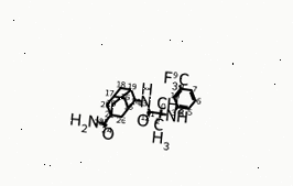 CC(C)(Nc1cccc(C(F)(F)F)c1)C(=O)NC1C2CC3CC1CC(C(N)=O)(C3)C2